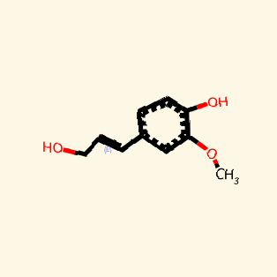 COc1cc(/C=C/CO)ccc1O